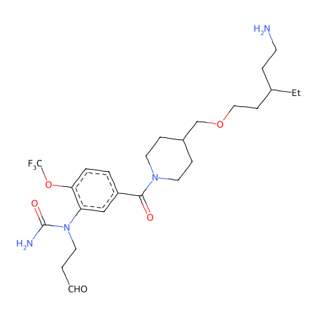 CCC(CCN)CCOCC1CCN(C(=O)c2ccc(OC(F)(F)F)c(N(CCC=O)C(N)=O)c2)CC1